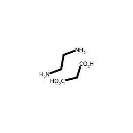 NCCN.O=C(O)CC(=O)O